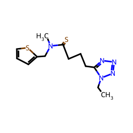 CCn1nnnc1CCCC(=S)N(C)Cc1cccs1